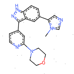 Cn1cncc1-c1ccc2[nH]nc(-c3ccnc(N4CCOCC4)c3)c2c1